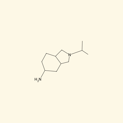 CC(C)N1CC2CCC(N)CC2C1